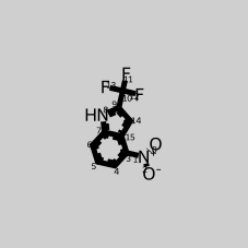 O=[N+]([O-])c1cccc2[nH]c(C(F)(F)F)cc12